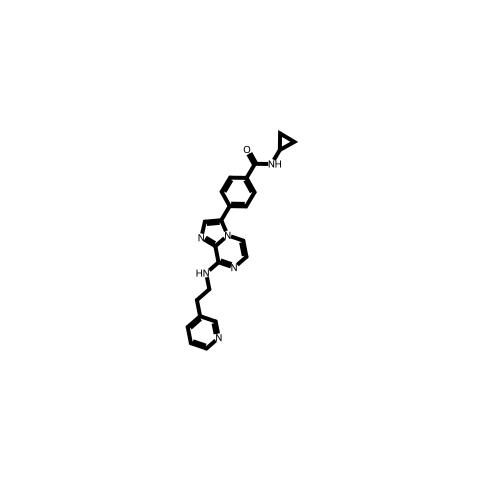 O=C(NC1CC1)c1ccc(-c2cnc3c(NCCc4cccnc4)nccn23)cc1